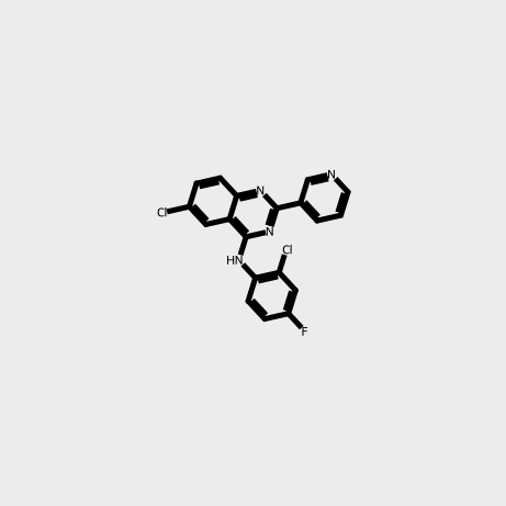 Fc1ccc(Nc2nc(-c3cccnc3)nc3ccc(Cl)cc23)c(Cl)c1